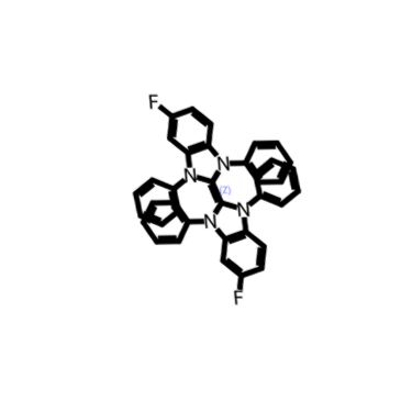 Fc1ccc2c(c1)N(c1ccccc1)/C(=C1/N(c3ccccc3)c3ccc(F)cc3N1c1ccccc1)N2c1ccccc1